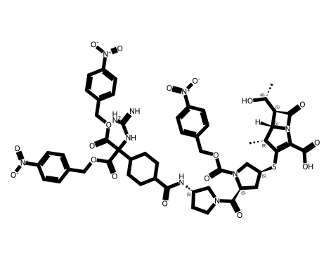 C[C@@H](O)[C@H]1C(=O)N2C(C(=O)O)=C(S[C@H]3C[C@@H](C(=O)N4CC[C@H](NC(=O)C5CCC(C(NC(=N)N)(C(=O)OCc6ccc([N+](=O)[O-])cc6)C(=O)OCc6ccc([N+](=O)[O-])cc6)CC5)C4)N(C(=O)OCc4ccc([N+](=O)[O-])cc4)C3)[C@H](C)[C@H]12